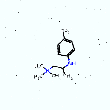 CC(C[N+](C)(C)C)Nc1ccc([N+](=O)[O-])cc1